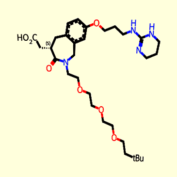 CC(C)(C)CCOCCOCCOCCN1Cc2cc(OCCCNC3=NCCCN3)ccc2C[C@@H](CC(=O)O)C1=O